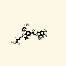 Br.COc1cc2c(c(F)c1OC)C(=N)N(CC(=O)c1cc(N3CCCC3)c(OCCCC(F)C(=O)O)c(C(C)(C)C)c1)C2